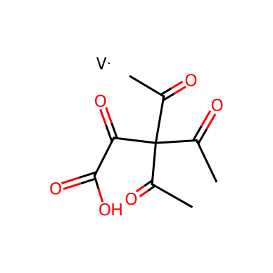 CC(=O)C(C(C)=O)(C(C)=O)C(=O)C(=O)O.[V]